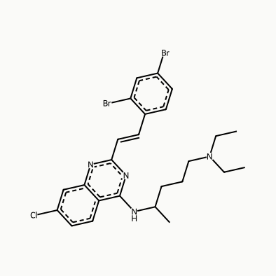 CCN(CC)CCCC(C)Nc1nc(C=Cc2ccc(Br)cc2Br)nc2cc(Cl)ccc12